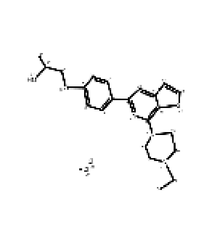 CCN1CCN(c2nc(-c3ccc(OCC(C)O)cc3)cc3ccsc23)CC1.Cl.Cl